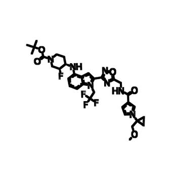 COCC1(n2ccc(C(=O)NCc3nc(-c4cc5c(N[C@@H]6CCN(C(=O)OC(C)(C)C)C[C@@H]6F)cccc5n4CC(F)(F)F)no3)c2)CC1